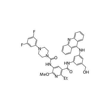 CCc1nc(OC)c(NC(=O)N2CCN(c3cc(F)cc(F)c3)CC2)cc1C(=O)Nc1cc(CO)cc(Nc2c3ccccc3nc3ccccc23)c1